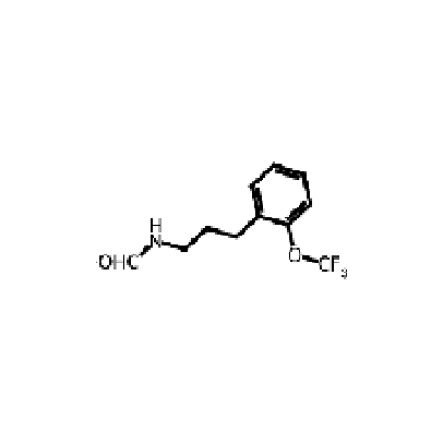 O=[C]NCCCc1ccccc1OC(F)(F)F